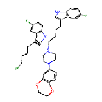 Fc1ccc2[nH]cc(CCCCCl)c2c1.Fc1ccc2[nH]cc(CCCCN3CCN(c4ccc5c(c4)OCCO5)CC3)c2c1